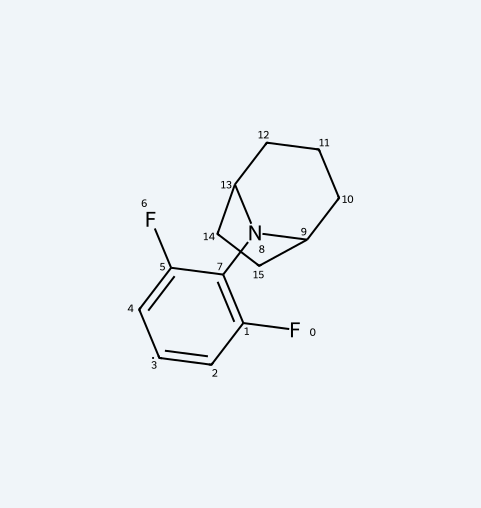 Fc1c[c]cc(F)c1N1C2CCCC1CC2